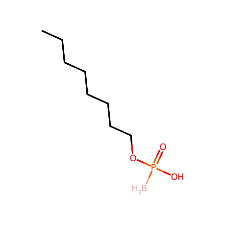 BP(=O)(O)OCCCCCCCC